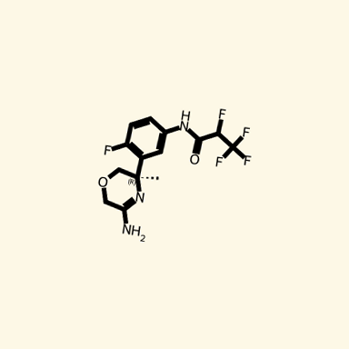 C[C@@]1(c2cc(NC(=O)C(F)C(F)(F)F)ccc2F)COCC(N)=N1